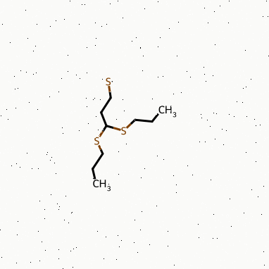 CCCSC(CC[S])SCCC